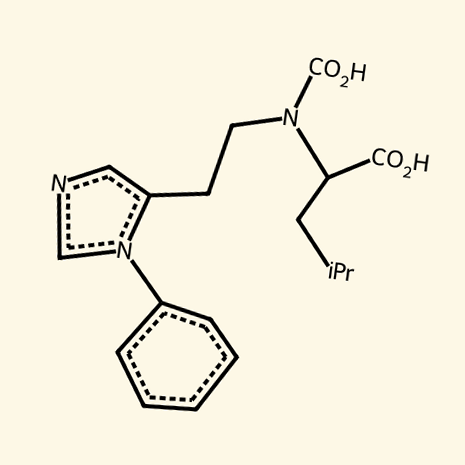 CC(C)CC(C(=O)O)N(CCc1cncn1-c1ccccc1)C(=O)O